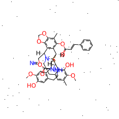 COc1cc2c(cc1O)CCN[C@]21CS[C@@H]2c3c(OC(=O)/C=C/c4ccccc4)c(C)c4c(c3[C@H](COC1=O)N1[C@@H]2C2NC(Cc3cc(C)c(OC)c(O)c32)[C@@H]1C#N)OCO4